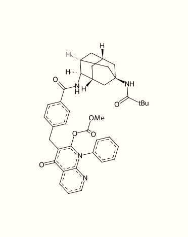 COC(=O)Oc1c(Cc2ccc(C(=O)N[C@@H]3[C@@H]4C[C@@H]5C[C@H]3C[C@](NC(=O)C(C)(C)C)(C5)C4)cc2)c(=O)c2cccnc2n1-c1ccccc1